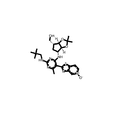 Cc1nc(NCC(C)(C)C)nc(N[C@@H]2C[C@H](CO)[C@H]3OC(C)(C)O[C@H]32)c1-c1nc2c[n+]([O-])ccc2s1